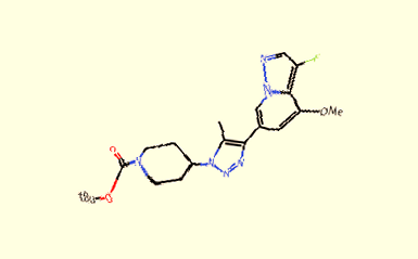 COc1cc(-c2nnn(C3CCN(C(=O)OC(C)(C)C)CC3)c2C)cn2ncc(F)c12